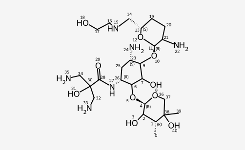 C[C@@H]1C(O)[C@@H](OC2C(O)C(O[C@H]3O[C@H](CNCCO)CCC3N)[C@@H](N)C[C@H]2NC(=O)C(O)(CN)CN)OCC1(C)O